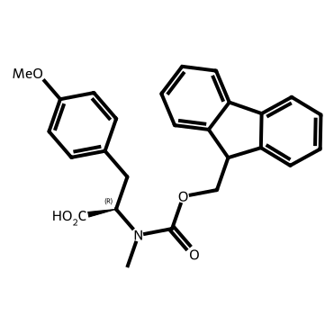 COc1ccc(C[C@H](C(=O)O)N(C)C(=O)OCC2c3ccccc3-c3ccccc32)cc1